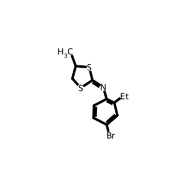 CCc1cc(Br)ccc1N=C1SCC(C)S1